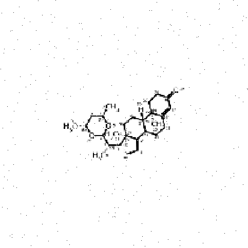 C[C@@H]1C[C@@H](C)OC([C@@H](C)[C@H]2CCC3C4CCC5=CC(=O)CC[C@]5(C)[C@H]4CC[C@@]32C)O1